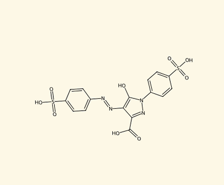 O=C(O)c1nn(-c2ccc(S(=O)(=O)O)cc2)c(O)c1N=Nc1ccc(S(=O)(=O)O)cc1